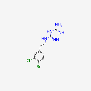 N=C(N)NC(=N)NCCc1ccc(Br)c(Cl)c1